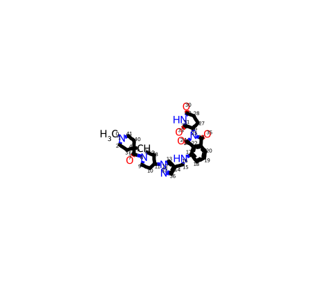 CN1CCC(C)(C(=O)N2CCC(n3cc(CNc4cccc5c4C(=O)N(C4CCC(=O)NC4=O)C5=O)cn3)CC2)CC1